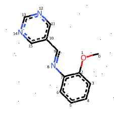 COc1ccccc1N=Cc1cncnc1